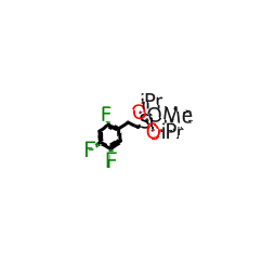 CO[Si](CCc1cc(F)c(F)cc1F)(OC(C)C)OC(C)C